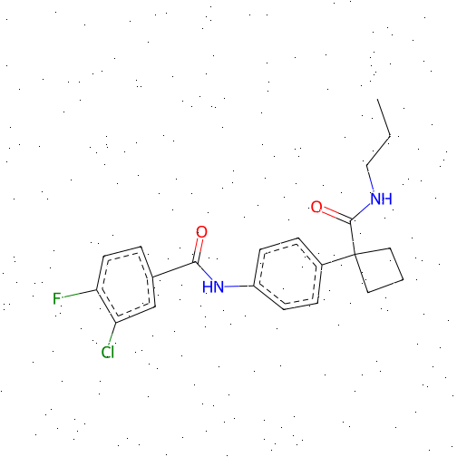 CCCNC(=O)C1(c2ccc(NC(=O)c3ccc(F)c(Cl)c3)cc2)CCC1